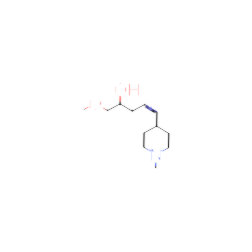 COCC(O)C/C=C\C1CCN(C)CC1